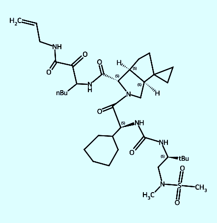 C=CCNC(=O)C(=O)C(CCCC)NC(=O)[C@@H]1[C@H]2CCC3(CC3)[C@H]2CN1C(=O)[C@@H](NC(=O)N[C@H](CN(C)S(C)(=O)=O)C(C)(C)C)C1CCCCC1